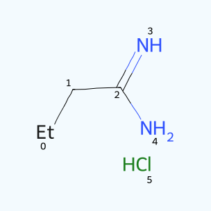 CCCC(=N)N.Cl